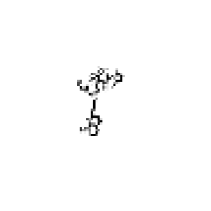 COC(=O)[C@H](CCN(CCCCc1ccc2c(n1)NCCC2)C[C@@H](CF)OC)NC(=O)N1[C@H](C)CC[C@H]1C